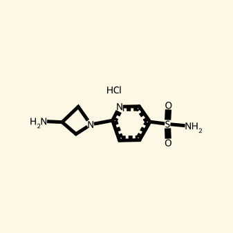 Cl.NC1CN(c2ccc(S(N)(=O)=O)cn2)C1